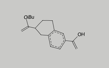 C=C(O)c1ccc2c(c1)CCC(C(=C)OCC(C)C)C2